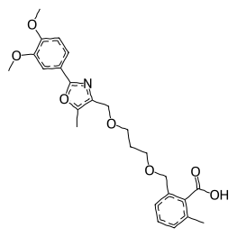 COc1ccc(-c2nc(COCCCOCc3cccc(C)c3C(=O)O)c(C)o2)cc1OC